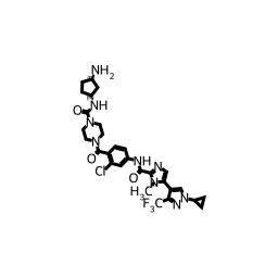 Cn1c(-c2cn(C3CC3)nc2C(F)(F)F)cnc1C(=O)Nc1ccc(C(=O)N2CCN(C(=O)N[C@@H]3CC[C@@H](N)C3)CC2)c(Cl)c1